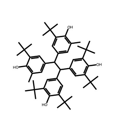 Cc1cc(C(c2cc(C)c(O)c(C(C)(C)C)c2)C(c2cc(C(C)(C)C)c(O)c(C(C)(C)C)c2)c2cc(C(C)(C)C)c(O)c(C(C)(C)C)c2)cc(C(C)(C)C)c1O